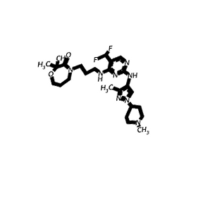 Cc1nn(C2CCN(C)CC2)cc1Nc1ncc(C(F)F)c(NCCCN2CCCOC(C)(C)C2=O)n1